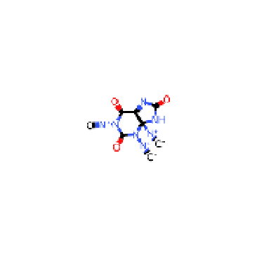 [C-]#[N+]N1C(=O)C2=NC(=O)NC2([N+]#[C-])N([N+]#[C-])C1=O